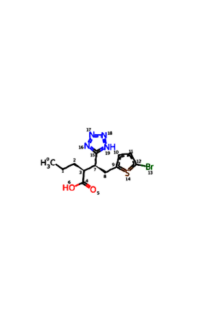 CCC[C@H](C(=O)O)[C@H](Cc1ccc(Br)s1)c1nnn[nH]1